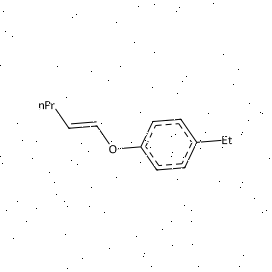 CCC/C=C/Oc1ccc(CC)cc1